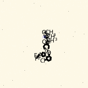 C[C@H](/C=C\S(C)(=O)=O)NC(=O)[C@@]1(F)CCCN(C(=O)[C@H]2CN(CC(F)(F)F)C[C@H]2c2c(F)cccc2Cl)CC1